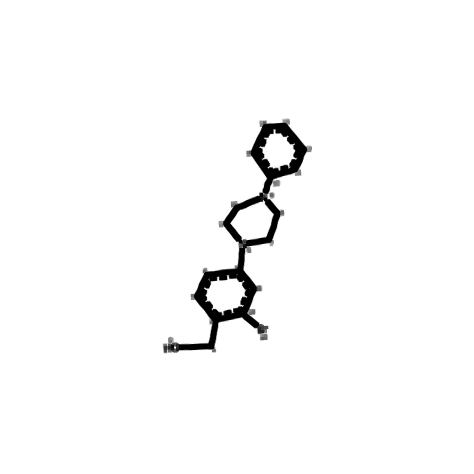 OCc1ccc(N2CCN(c3ccccc3)CC2)cc1Br